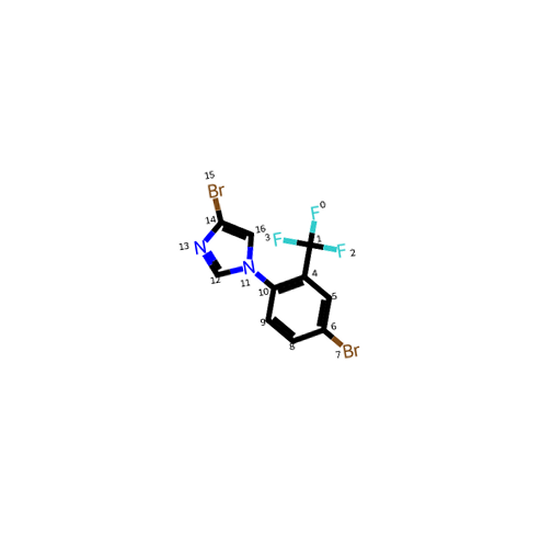 FC(F)(F)c1cc(Br)ccc1-n1cnc(Br)c1